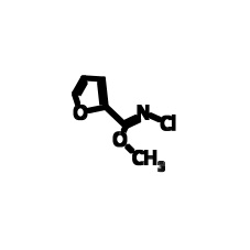 CO/C(=N\Cl)c1ccco1